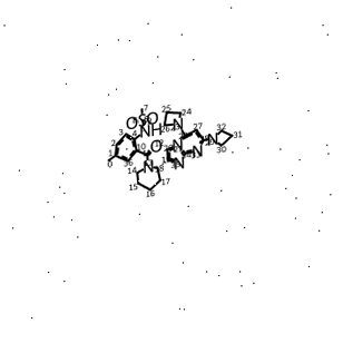 Cc1ccc(NS(C)(=O)=O)c(C(=O)N2CCCC[C@H]2c2cn3c(N4CCC4)cc(N4CCC4)nc3n2)c1